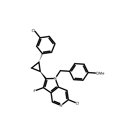 COc1ccc(Cn2c([C@H]3C[C@@H]3c3cccc(Cl)c3)c(F)c3cnc(Cl)cc32)cc1